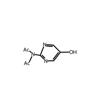 CC(=O)N(C(C)=O)c1ncc(O)cn1